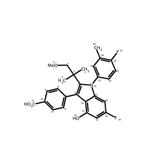 COCC(C)(C)c1c(-c2ccc(C(=O)O)cc2)c2c(O)cc(F)cc2n1-c1ccc(F)c(C)c1